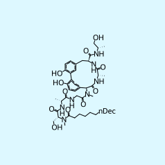 CCCCCCCCCCCCCCCC(=O)N(C)[C@H](CO)C(=O)N[C@H](C)C(=O)NCC(=O)N(C)[C@@H]1C(=O)N[C@@H](C)C(=O)N[C@H](C(=O)N[C@@H](C)CO)Cc2ccc(O)c(c2)-c2cc1ccc2O